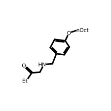 CCCCCCCCOc1ccc(CNCC(=O)CC)cc1